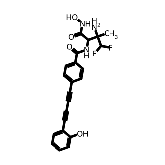 CC(N)(C(F)F)C(NC(=O)c1ccc(C#CC#Cc2ccccc2O)cc1)C(=O)NO